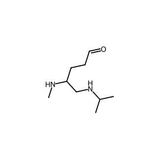 CNC(CCC=O)CNC(C)C